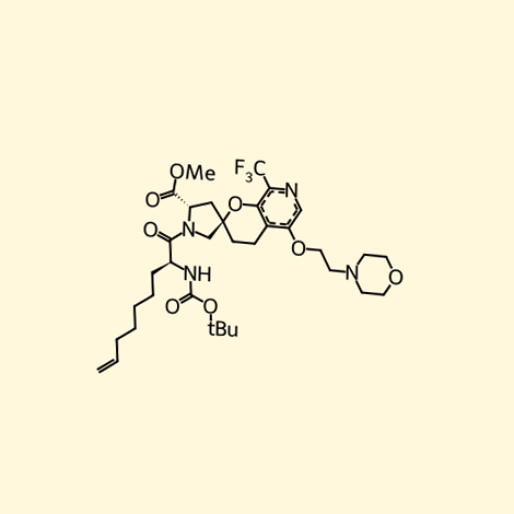 C=CCCCCC[C@H](NC(=O)OC(C)(C)C)C(=O)N1C[C@@]2(CCc3c(OCCN4CCOCC4)cnc(C(F)(F)F)c3O2)C[C@H]1C(=O)OC